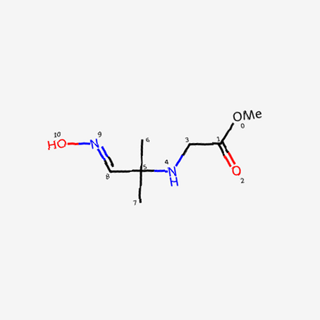 COC(=O)CNC(C)(C)/C=N/O